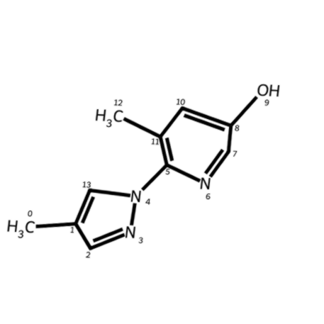 Cc1cnn(-c2ncc(O)cc2C)c1